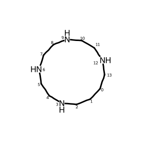 C1CCNCCNCCNCCNC1